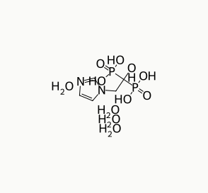 O.O.O.O.O=P(O)(O)C(O)(Cn1ccnc1)P(=O)(O)O